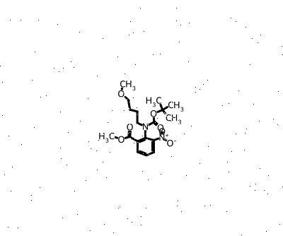 COCCCCN(C(=O)OC(C)(C)C)c1c(C(=O)OC)cccc1[N+](=O)[O-]